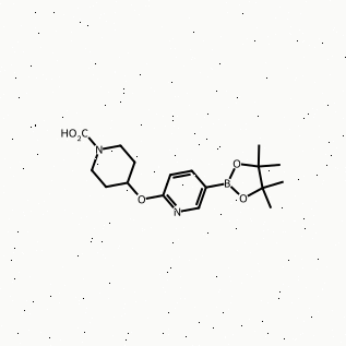 CC1(C)OB(c2ccc(OC3CCN(C(=O)O)CC3)nc2)OC1(C)C